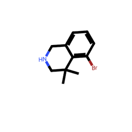 CC1(C)CNCc2cccc(Br)c21